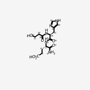 NC(=O)[C@H](CCC(=O)O)NC(=O)[C@H](Cc1c[nH]cn1)NC(=O)CCO